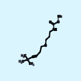 CC(C)(C)OC(=O)NCCCOCCC#C[Si](C)(C)C